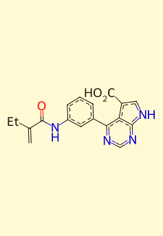 C=C(CC)C(=O)Nc1cccc(-c2ncnc3[nH]cc(C(=O)O)c23)c1